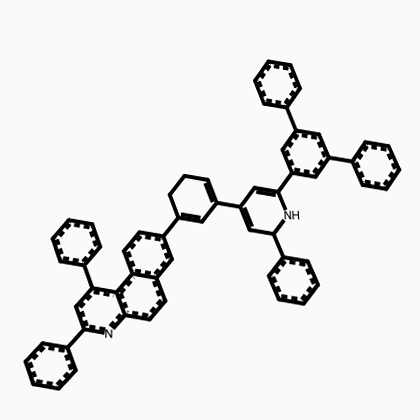 C1=C(C2=CC(c3ccccc3)NC(c3cc(-c4ccccc4)cc(-c4ccccc4)c3)=C2)C=C(c2ccc3c(ccc4nc(-c5ccccc5)cc(-c5ccccc5)c43)c2)CC1